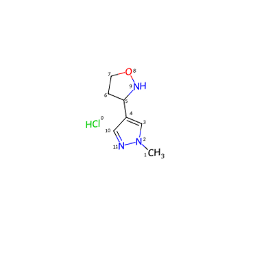 Cl.Cn1cc(C2CCON2)cn1